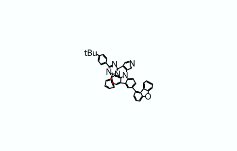 CC(C)(C)c1ccc(-c2nc(-c3ccccc3)nc(-c3ccncc3-n3c4ccccc4c4cc(-c5cccc6oc7ccccc7c56)ccc43)n2)cc1